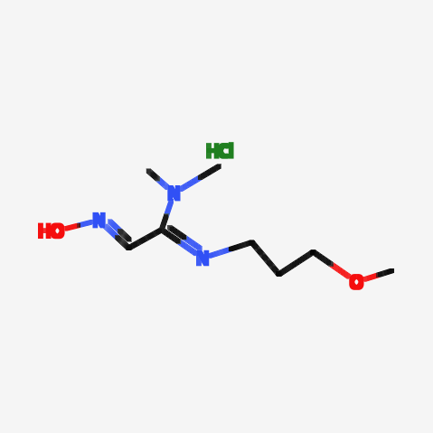 COCCCN=C(C=NO)N(C)C.Cl